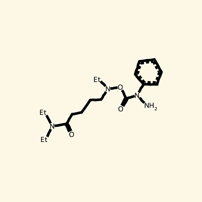 CCN(CCCCC(=O)N(CC)CC)OC(=O)N(N)c1ccccc1